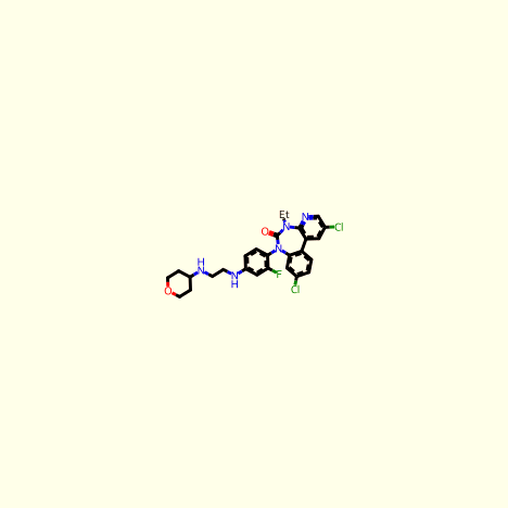 CCN1C(=O)N(c2ccc(NCCNC3CCOCC3)cc2F)c2cc(Cl)ccc2-c2cc(Cl)cnc21